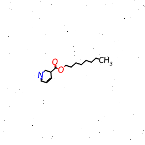 CCCCCCCCOC(=O)C1C=CC=NC1